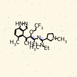 C=C(/C(OCC(F)(F)F)=C(CC)/N=C(/C1CCN(C)C1)N(C)CC)c1c(C)ccc2[nH]ncc12